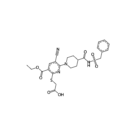 CCOC(=O)c1cc(C#N)c(N2CCC(C(=O)NS(=O)(=O)Cc3ccccc3)CC2)nc1SCC(=O)O